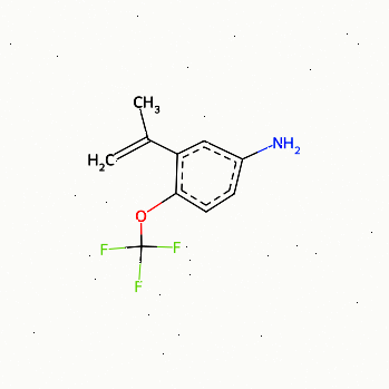 C=C(C)c1cc(N)ccc1OC(F)(F)F